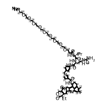 CC[C@H]1C(=O)OCc2c1cc1n(c2=O)Cc2c-1nc1cc(F)c(C)c3c1c2[C@@H](NC(=O)c1ccn(Cc2ccc(NC(=O)[C@H](CCCNC(N)=O)NC(=O)[C@@H](NC(=O)CCOCCOCCOCCOCCOCCOCCOCCOCCOCCN=[N+]=[N-])C(C)C)cc2)c1)CC3